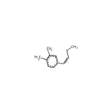 CS/C=C\c1ccc(C)c(C)c1